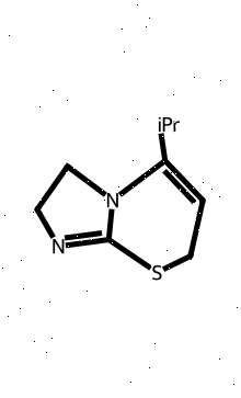 CC(C)C1=CCSC2=NCCN12